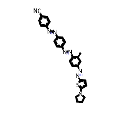 Cc1cc(/N=N/c2ccc(N3CCCC3)s2)ccc1/N=N/c1ccc(/N=N/c2ccc(C#N)cc2)cc1